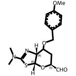 COc1ccc(COC2C[C@@H](C=O)O[C@@H]3SC(N(C)C)=N[C@H]23)cc1